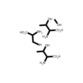 CC(C)CC(N)C(=O)O.CC(O)C(N)C(=O)O.CC(O)C(N)C(=O)O.CO